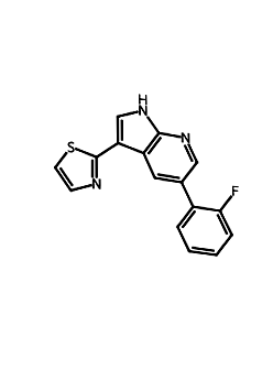 Fc1ccccc1-c1cnc2[nH]cc(-c3nccs3)c2c1